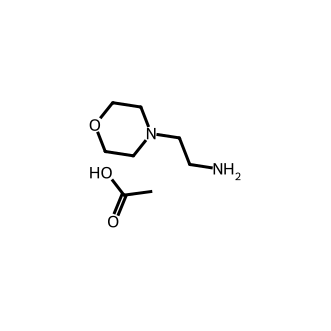 CC(=O)O.NCCN1CCOCC1